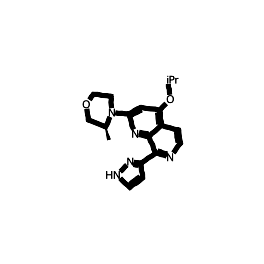 CC(C)Oc1cc(N2CCOC[C@@H]2C)nc2c(-c3cc[nH]n3)nccc12